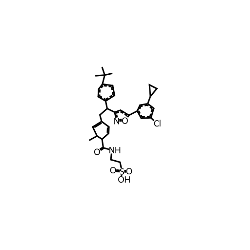 CC1C=C(CC(c2ccc(C(C)(C)C)cc2)c2cc(-c3cc(Cl)cc(C4CC4)c3)on2)C=CC1C(=O)NCCS(=O)(=O)O